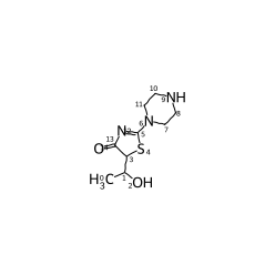 CC(O)C1SC(N2CCNCC2)=NC1=O